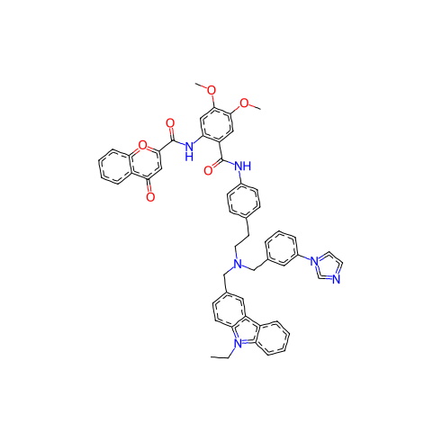 CCn1c2ccccc2c2cc(CN(CCc3ccc(NC(=O)c4cc(OC)c(OC)cc4NC(=O)c4cc(=O)c5ccccc5o4)cc3)Cc3cccc(-n4ccnc4)c3)ccc21